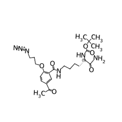 CC(=O)c1ccc(OCCCN=[N+]=[N-])c(C(=O)NCCCC[C@H](NC(=O)OC(C)(C)C)C(N)=O)c1